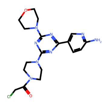 Nc1ccc(-c2nc(N3CCOCC3)nc(N3CCN(C(=O)CCl)CC3)n2)cn1